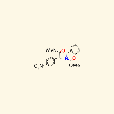 CNC(=O)C(CN(Cc1ccccc1)C(=O)OC)c1ccc([N+](=O)[O-])cc1